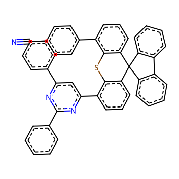 N#Cc1ccc(-c2cccc3c2Sc2c(-c4cc(-c5ccccc5)nc(-c5ccccc5)n4)cccc2C32c3ccccc3-c3ccccc32)cc1